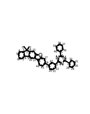 CC1(C)c2ccccc2-c2cc3c(cc21)oc1cc(-c2cccc(-c4nc(-c5ccccc5)nc(-c5ccccc5)n4)c2)ccc13